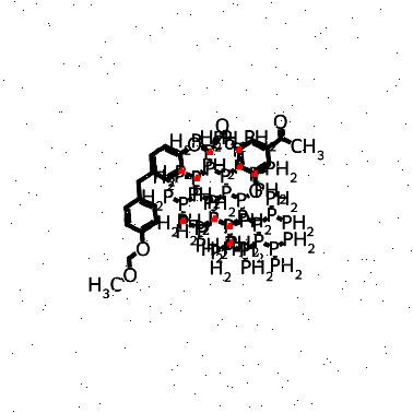 COCOc1ccc(Cc2ccc(O[CH2][Co](=[O])[c]3cc(OP(P(P(P(P)P)P(P)P)P(P(P)P)P(P(P)P)P(P)P)P(P(P(P(P)P)P(P)P)P(P(P)P)P(P)P)P(P(P(P)P)P(P)P)P(P(P)P)P(P)P)cc(C(C)=O)c3)cc2)cc1